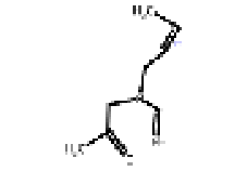 C/C=C\CN(C=N)CC(C)=O